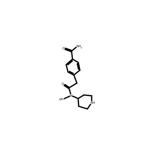 CCCN(C(=O)Cc1ccc(C(N)=O)cc1)C1CCNCC1